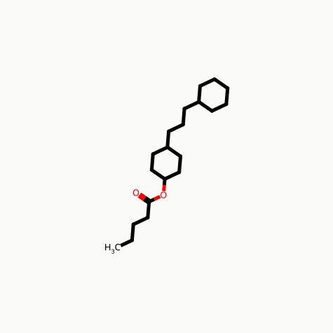 CCCCC(=O)OC1CCC(CCCC2CCCCC2)CC1